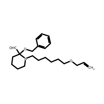 C=CCOCCCCCCN1CCCCC1(C=O)OCc1ccccc1